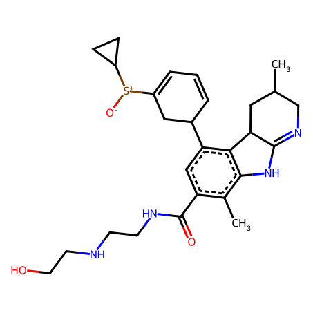 Cc1c(C(=O)NCCNCCO)cc(C2C=CC=C([S+]([O-])C3CC3)C2)c2c1NC1=NCC(C)CC12